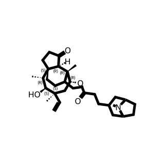 C=C[C@]1(C)C[C@@H](OC(=O)CCC2CC3CCC(C2)N3C)[C@]2(C)C(CC)CC[C@]3(CCC(=O)[C@H]32)[C@@H](C)[C@@H]1O